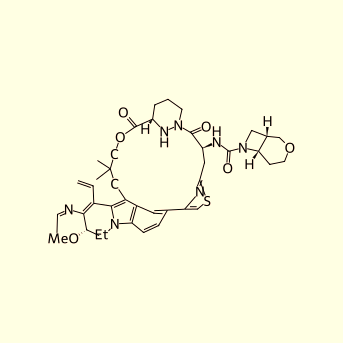 C=C/C(=C(\N=C/C)[C@H](C)OC)c1c2c3cc(ccc3n1CC)-c1csc(n1)C[C@H](NC(=O)N1C[C@@H]3COCC[C@@H]31)C(=O)N1CCC[C@H](N1)C(=O)OCC(C)(C)C2